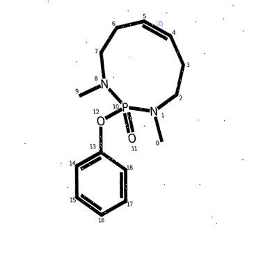 CN1CC/C=C\CCN(C)P1(=O)Oc1ccccc1